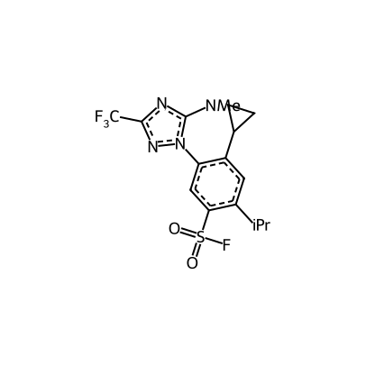 CNc1nc(C(F)(F)F)nn1-c1cc(S(=O)(=O)F)c(C(C)C)cc1C1CC1